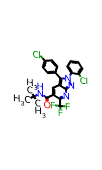 CC(C)(C)NC(=O)c1cc2c(-c3ccc(Cl)cc3)n(-c3ccccc3Cl)nc2nc1C(F)(F)F